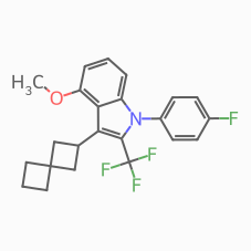 COc1cccc2c1c(C1CC3(CCC3)C1)c(C(F)(F)F)n2-c1ccc(F)cc1